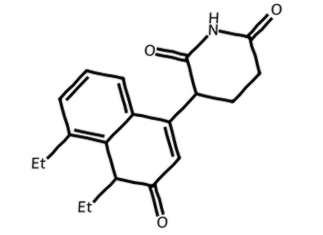 CCc1cccc2c1C(CC)C(=O)C=C2C1CCC(=O)NC1=O